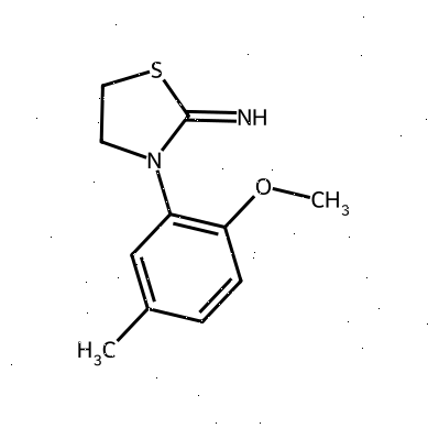 COc1ccc(C)cc1N1CCSC1=N